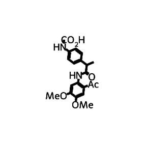 COc1cc(NC(=O)C(C)c2ccc(NC(=O)O)cc2)c(C(C)=O)cc1OC